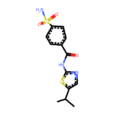 CC(C)c1cnc(NC(=O)c2ccc(S(N)(=O)=O)cc2)s1